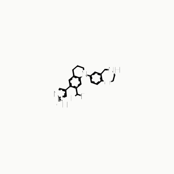 Cn1cc(-c2cc3c(cc2C(F)F)N(c2ccc4c(c2)CNCCO4)CCC3)cn1